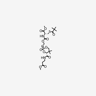 COC(=O)CCNC(=O)[C@@H]1OP(=O)(OCOC(=O)N[C@@H](CSC(=O)C(C)(C)C)C(=O)OC)OCC1(C)C